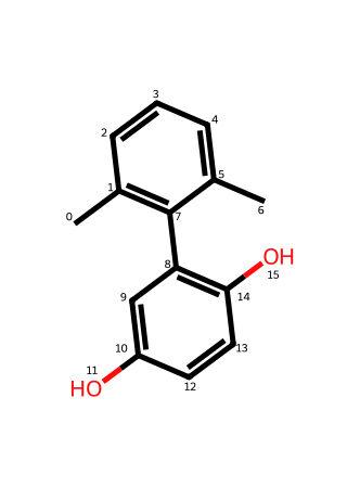 Cc1cccc(C)c1-c1cc(O)ccc1O